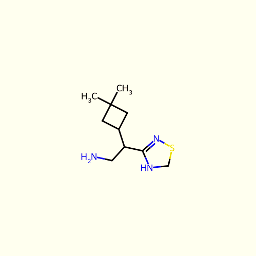 CC1(C)CC(C(CN)C2=NSCN2)C1